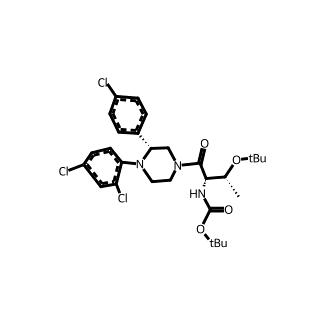 C[C@@H](OC(C)(C)C)[C@H](NC(=O)OC(C)(C)C)C(=O)N1CCN(c2ccc(Cl)cc2Cl)[C@H](c2ccc(Cl)cc2)C1